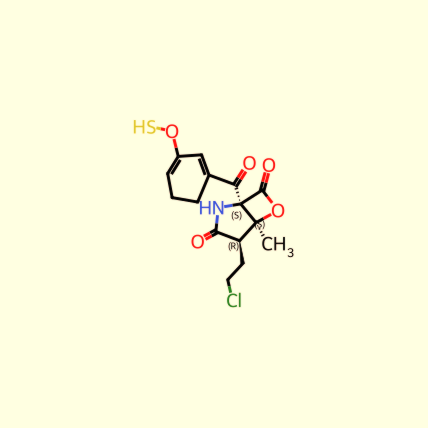 C[C@@]12OC(=O)[C@]1(C(=O)C1=CC(OS)=CCC1)NC(=O)[C@@H]2CCCl